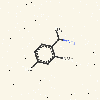 CNc1cc(C)ccc1C(C)N